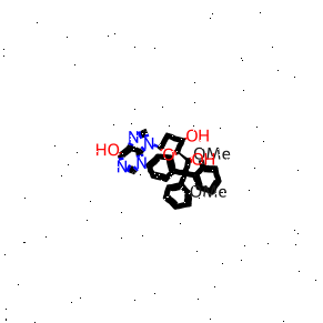 COc1ccccc1C(c1ccccc1)(c1ccccc1OC)C(O)[C@H]1O[C@@H](n2cnc3c(O)ncnc32)C[C@@H]1O